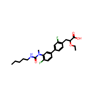 CCCCCNC(=O)N(C)c1cc(-c2ccc(CC(OCC)C(=O)O)c(F)c2)ccc1F